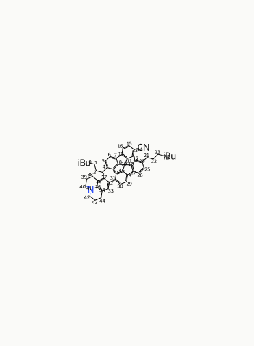 CCC(C)CCCc1ccc2c(c1)C1(c3cc(C#N)ccc3-2)c2cc(CCCC(C)CC)ccc2-c2ccc(-c3cc4c5c(c3)CCCN5CCC4)cc21